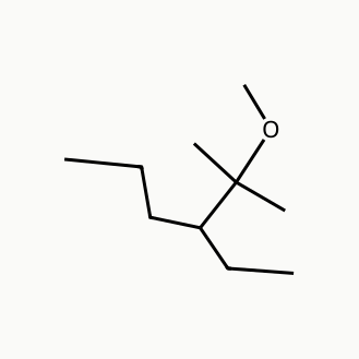 CCCC(CC)C(C)(C)OC